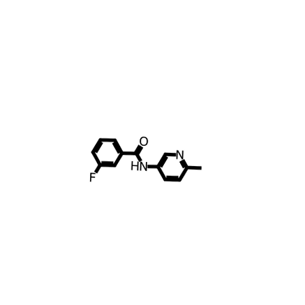 Cc1ccc(NC(=O)c2cccc(F)c2)cn1